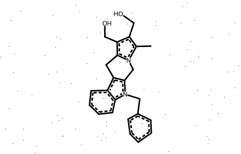 Cc1c(CO)c(CO)c2n1Cc1c(c3ccccc3n1Cc1ccccc1)C2